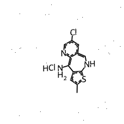 Cc1cc2c(s1)NC=c1cc(Cl)cnc1=C2N.Cl